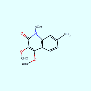 CCCCCCCCn1c(=O)c(OC=O)c(OCCCC)c2ccc([N+](=O)[O-])cc21